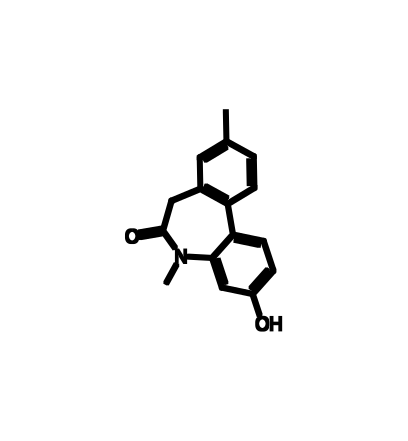 Cc1ccc2c(c1)CC(=O)N(C)c1cc(O)ccc1-2